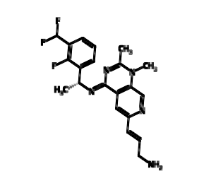 Cc1n/c(=N\[C@H](C)c2cccc(C(F)F)c2F)c2cc(/C=C/CN)ncc2n1C